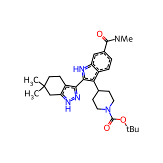 CNC(=O)c1ccc2c(C3CCN(C(=O)OC(C)(C)C)CC3)c(-c3n[nH]c4c3CCC(C)(C)C4)[nH]c2c1